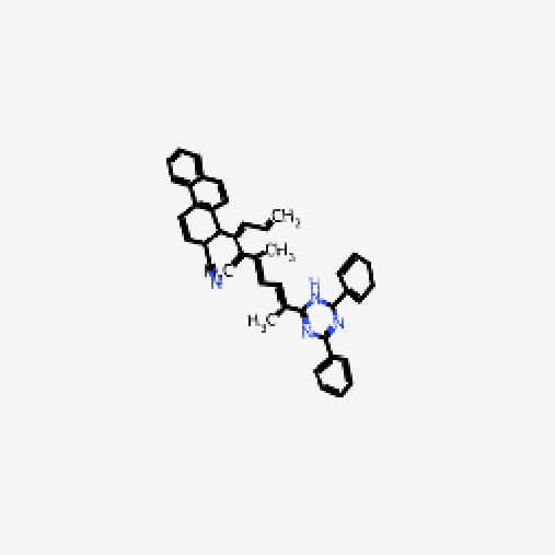 C=C/C=C(\C(=C)/C(C)=C/C=C(\C)C1=NC(c2ccccc2)=NC(C2=CCCC=C2)N1)C1c2ccc3ccccc3c2C=CC1C#N